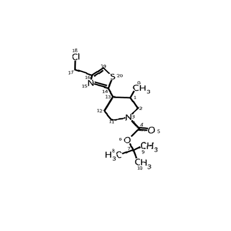 CC1CN(C(=O)OC(C)(C)C)CCC1c1nc(CCl)cs1